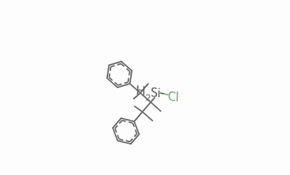 CC(C)(c1ccccc1)C(C)([SiH2]Cl)C(C)(C)c1ccccc1